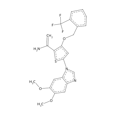 C=C(N)c1sc(-n2cnc3cc(OC)c(OC)cc32)cc1OCc1ccccc1C(F)(F)F